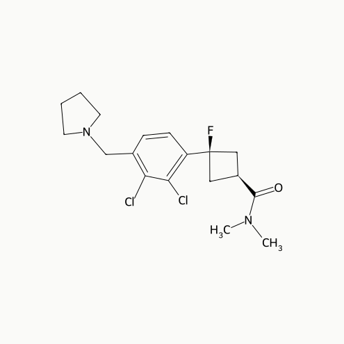 CN(C)C(=O)[C@H]1C[C@](F)(c2ccc(CN3CCCC3)c(Cl)c2Cl)C1